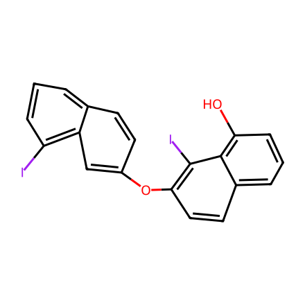 Oc1cccc2ccc(Oc3ccc4cccc(I)c4c3)c(I)c12